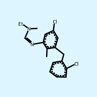 CCN(C)/C=N\c1cc(Cl)cc(Cc2ccccc2Cl)c1C